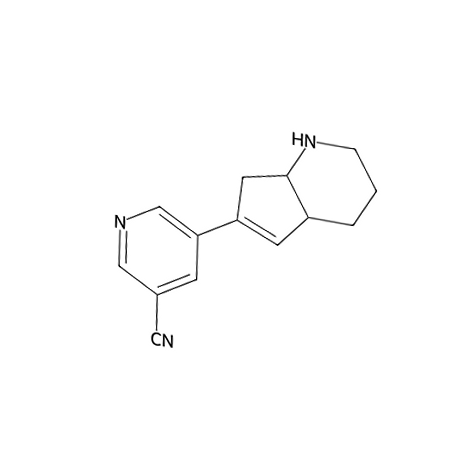 N#Cc1cncc(C2=CC3CCCNC3C2)c1